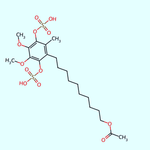 COc1c(OS(=O)(=O)O)c(C)c(CCCCCCCCCCOC(C)=O)c(OS(=O)(=O)O)c1OC